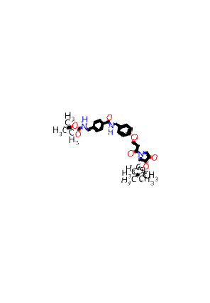 CC(C)(C)OC(=O)NCc1ccc(C(=O)NCc2ccc(OCCC(=O)N3CC(=O)[C@@H](O[Si](C)(C)C(C)(C)C)C3)cc2)cc1